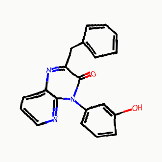 O=c1c(Cc2ccccc2)nc2cccnc2n1-c1cccc(O)c1